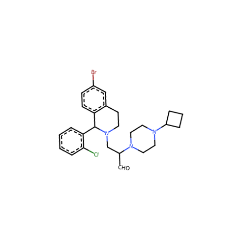 O=CC(CN1CCc2cc(Br)ccc2C1c1ccccc1Cl)N1CCN(C2CCC2)CC1